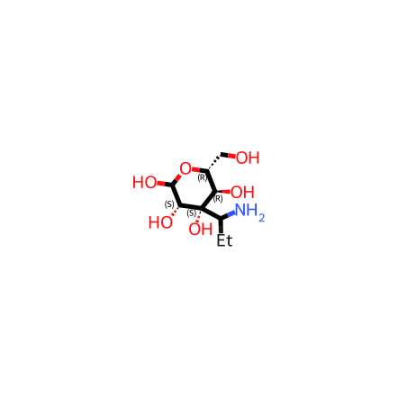 CCC(N)[C@@]1(O)[C@H](O)C(O)O[C@H](CO)[C@H]1O